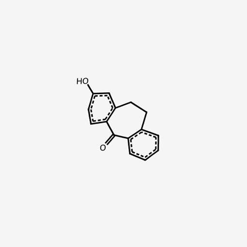 O=C1c2ccccc2CCc2cc(O)ccc21